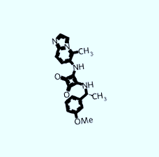 COc1cccc([C@@H](C)Nc2c(Nc3ccc4nccn4c3C)c(=O)c2=O)c1